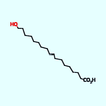 O=C(O)CCCCCCCC=CCCCCCCCCO